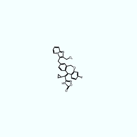 COCc1nc2ccccn2c1Cc1ccc2c(c1)COc1cc(F)ccc1C2=C(c1noc(=O)[nH]1)C1CC1